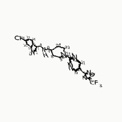 Cn1cc(CNCC2CCN(c3ncc(-c4noc(C(F)(F)F)n4)cn3)CC2)c2ccc(Cl)cc21